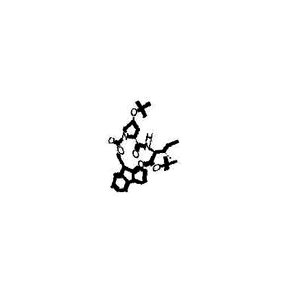 CC[C@H](C)[C@H](NC(=O)[C@H]1C[C@@H](OC(C)(C)C)CN1C(=O)OCC1c2ccccc2-c2ccccc21)C(=O)OC(C)(C)C